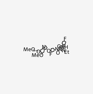 CCN/C=C(\C(=O)Nc1ccc(F)cc1)C(=O)Nc1ccc(Oc2ccnc3cc(OCCOC)c(OC)cc23)c(F)c1